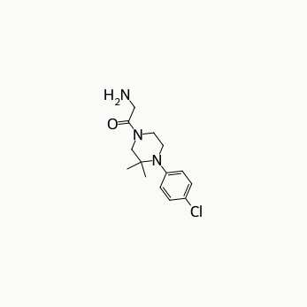 CC1(C)CN(C(=O)CN)CCN1c1ccc(Cl)cc1